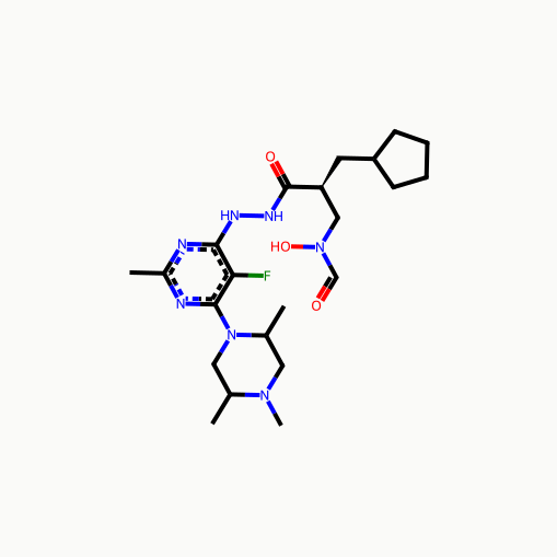 Cc1nc(NNC(=O)[C@@H](CC2CCCC2)CN(O)C=O)c(F)c(N2CC(C)N(C)CC2C)n1